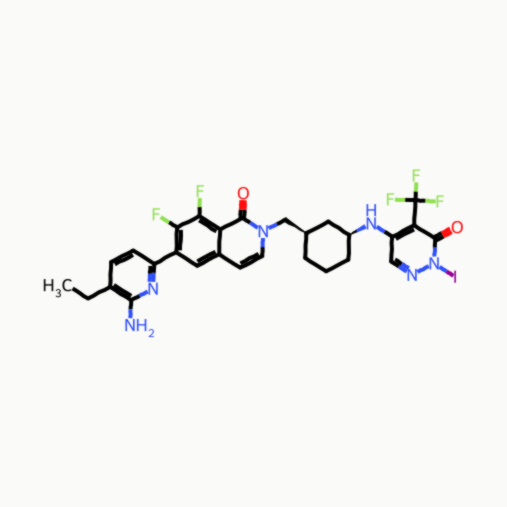 CCc1ccc(-c2cc3ccn(C[C@@H]4CCC[C@H](Nc5cnn(I)c(=O)c5C(F)(F)F)C4)c(=O)c3c(F)c2F)nc1N